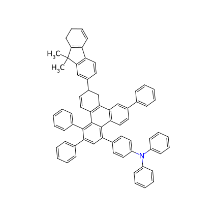 CC1(C)C2=C(C=CCC2)c2ccc(C3C=Cc4c(c5cc(-c6ccccc6)ccc5c5c(-c6ccc(N(c7ccccc7)c7ccccc7)cc6)cc(-c6ccccc6)c(-c6ccccc6)c45)C3)cc21